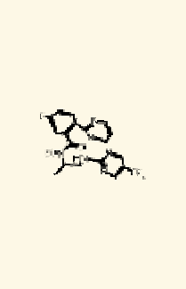 CCN(C(=O)c1cc(F)ccc1-c1ncccn1)C(C)CNc1ncc(C(F)(F)F)cn1